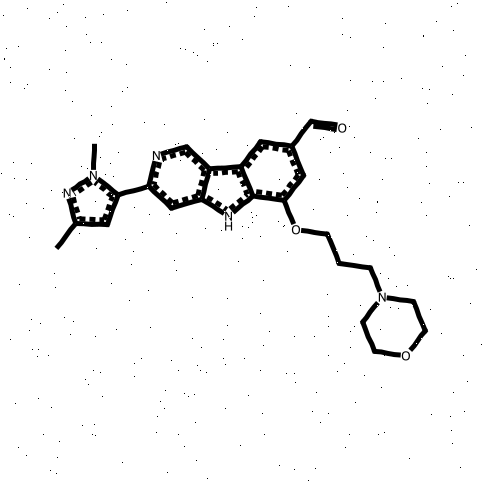 Cc1cc(-c2cc3[nH]c4c(OCCCN5CCOCC5)cc(C=O)cc4c3cn2)n(C)n1